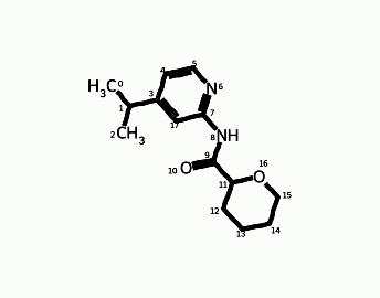 CC(C)c1ccnc(NC(=O)C2CCCCO2)c1